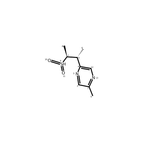 Cc1cnc([C@@H](C)[C@H](C)[SH](=O)=O)cn1